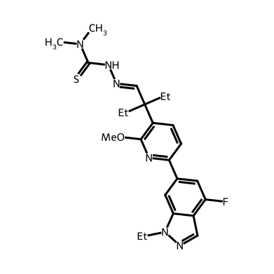 CCn1ncc2c(F)cc(-c3ccc(C(/C=N/NC(=S)N(C)C)(CC)CC)c(OC)n3)cc21